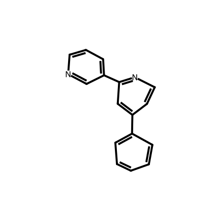 c1ccc(-c2ccnc(-c3cccnc3)c2)cc1